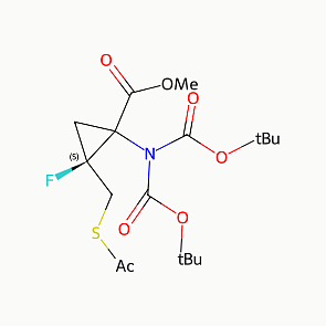 COC(=O)C1(N(C(=O)OC(C)(C)C)C(=O)OC(C)(C)C)C[C@@]1(F)CSC(C)=O